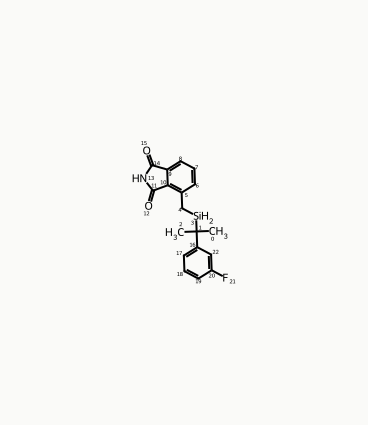 CC(C)([SiH2]Cc1cccc2c1C(=O)NC2=O)c1cccc(F)c1